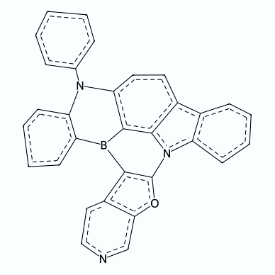 c1ccc(N2c3ccccc3B3c4c(oc5cnccc45)-n4c5ccccc5c5ccc2c3c54)cc1